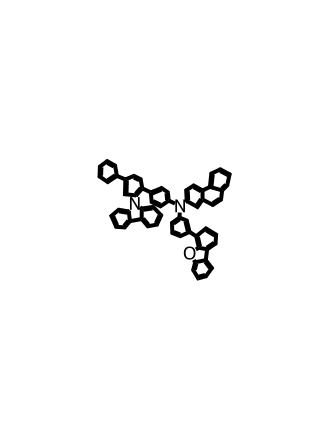 c1ccc(-c2ccc(-c3ccc(N(c4cccc(-c5cccc6c5oc5ccccc56)c4)c4ccc5c(ccc6ccccc65)c4)cc3)c(-n3c4ccccc4c4ccccc43)c2)cc1